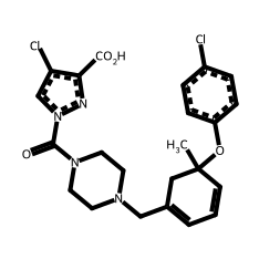 CC1(Oc2ccc(Cl)cc2)C=CC=C(CN2CCN(C(=O)n3cc(Cl)c(C(=O)O)n3)CC2)C1